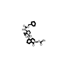 CC(C)C(=O)OCn1ccc2c(S(=O)(=O)N3CCC(NC(=O)OCc4ccccc4)C34CC4)cccc2c1=O